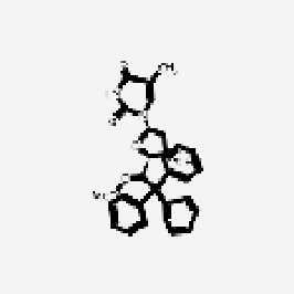 COOC([C@H]1O[C@@H](n2cc(C)c(=O)[nH]c2=O)C[C@@H]1O)C(c1ccccc1)(c1ccccc1)c1ccccc1